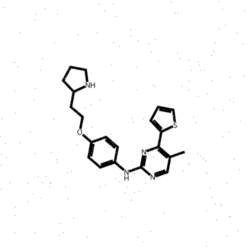 Cc1cnc(Nc2ccc(OCCC3CCCN3)cc2)nc1-c1cccs1